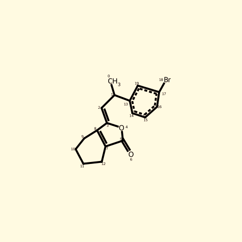 CC(C=C1OC(=O)C2=C1CCCC2)c1cccc(Br)c1